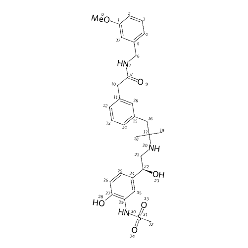 COc1cccc(CNC(=O)Cc2cccc(CC(C)(C)NC[C@@H](O)c3ccc(O)c(NS(C)(=O)=O)c3)c2)c1